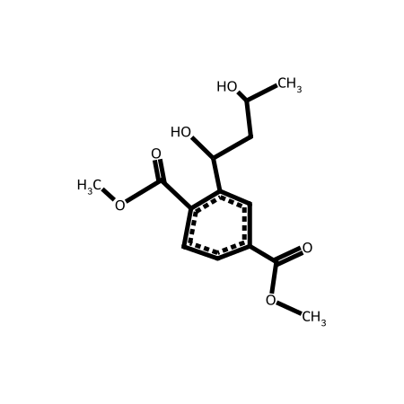 COC(=O)c1ccc(C(=O)OC)c(C(O)CC(C)O)c1